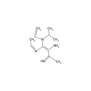 C=CN(C(/N=C\C)=C(\N)C(C)=N)C(C)C